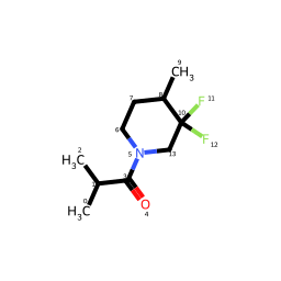 CC(C)C(=O)N1CCC(C)C(F)(F)C1